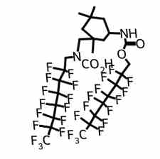 CC1(C)CC(NC(=O)OCC(F)(F)C(F)(F)C(F)(F)C(F)(F)C(F)(F)C(F)(F)C(F)(F)F)CC(C)(CN(CC(F)(F)C(F)(F)C(F)(F)C(F)(F)C(F)(F)C(F)(F)C(F)(F)F)C(=O)O)C1